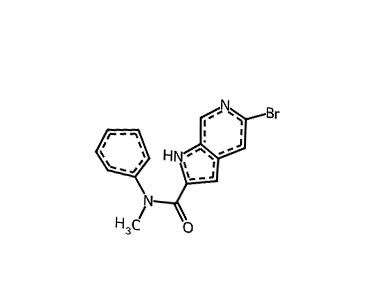 CN(C(=O)c1cc2cc(Br)ncc2[nH]1)c1ccccc1